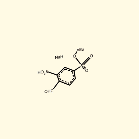 CCCCOS(=O)(=O)c1ccc(C=O)c(S(=O)(=O)O)c1.[NaH]